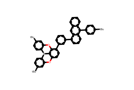 CC(C)(C)c1ccc(-c2c3ccccc3cc3c(-c4cccc(-c5ccc6c7c5Oc5cc(C(C)(C)C)ccc5B7c5ccc(C(C)(C)C)cc5O6)c4)cccc23)cc1